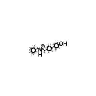 O=C(Cc1ccc(-c2ccc(O)cc2)cc1)NCc1ccccc1